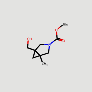 CC(C)(C)OC(=O)N1CC2(C)CC2(CO)C1